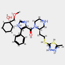 COC[C@]1(O)CCCC[C@H]1n1cnc(C(=O)N2CCNC[C@H]2CCSc2nnc(C)s2)c1-c1ccccc1